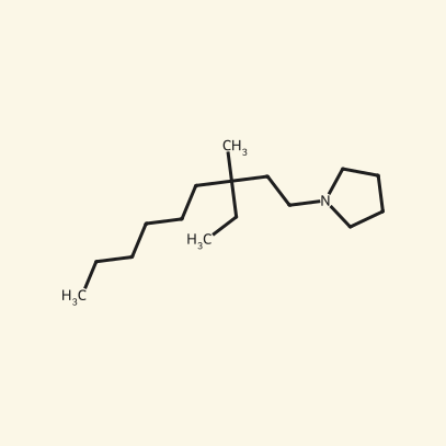 CCCCCCC(C)(CC)CCN1CCCC1